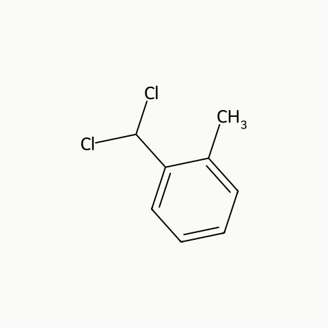 Cc1ccccc1C(Cl)Cl